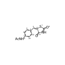 CC(=O)Nc1ccc(/C=C2/SC(=O)NC2=O)cc1